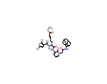 COC(=O)/C=C/CC[C@H](NC(=O)c1cc(Cl)sc1Cl)C(=O)Nc1cccn(CC(=O)NC2C3CC4CC(C3)CC2C4)c1=O